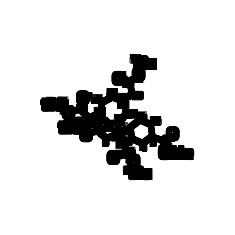 COC(=O)[C@H]1CC[C@H](C2(N(CC(=O)OC(C)(C)C)CC(=O)OC(C)(C)C)CN(CC(=O)OC(C)(C)C)CCN(CC(=O)OC(C)(C)C)C2)CC1